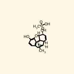 CN1CC[C@]23c4c5ccc(O)c4O[C@H]2[C@@H](O)C=C[C@H]3[C@H]1C5.CS(=O)(=O)O